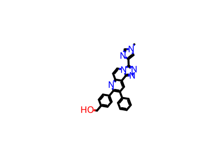 Cn1cnc(-c2nnc3c4cc(-c5ccccc5)c(-c5ccc(CO)cc5)nc4ccn23)c1